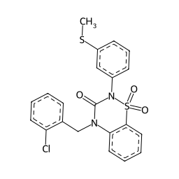 CSc1cccc(N2C(=O)N(Cc3ccccc3Cl)c3ccccc3S2(=O)=O)c1